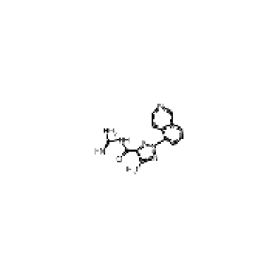 Cc1nn(-c2cccc3cnccc23)nc1C(=O)NC(=N)N